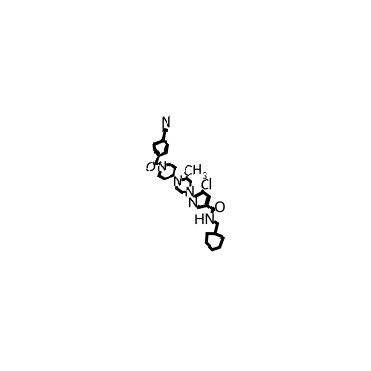 C[C@H]1CN(c2ncc(C(=O)NCC3CCCCC3)cc2Cl)CCN1C1CCN(C(=O)c2ccc(C#N)cc2)CC1